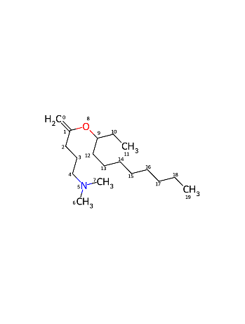 C=C(CCCN(C)C)OC(CC)CCCCCCCC